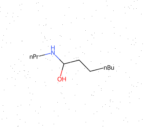 CCCCCCC(O)NCCC